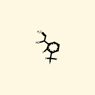 C=CC(O)c1cccc(C(F)(F)F)c1F